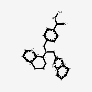 O=C(NO)c1ccc(CN(Cc2nc3ccccc3[nH]2)C2CCCc3cccnc32)cc1